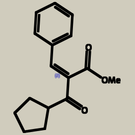 COC(=O)/C(=C\c1ccccc1)C(=O)C1CCCC1